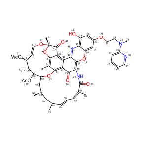 CO[C@H]1/C=C/O[C@@]2(C)Oc3c(C)c4c5c(=O)c(c6oc7cc(OCCN(C)c8ccccn8)cc(O)c7nc-6c5c3C2=O)NC(=O)/C(C)=C\C=C\C(C)C[C@@H](C)CC(O4)C(OC(C)=O)[C@@H]1C